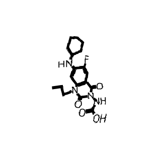 CCCn1c(=O)n(NC(=O)O)c(=O)c2cc(F)c(NC3CCCCC3)cc21